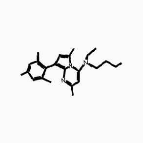 CCCCN(CC)c1cc(C)nc2c(-c3c(C)cc(C)cc3C)cc(C)n12